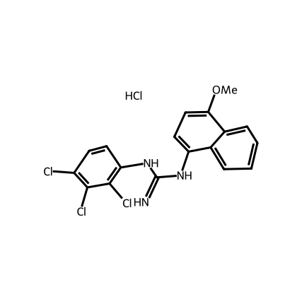 COc1ccc(NC(=N)Nc2ccc(Cl)c(Cl)c2Cl)c2ccccc12.Cl